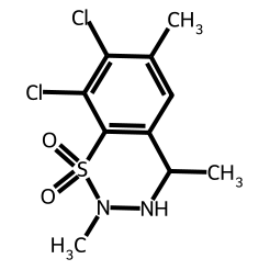 Cc1cc2c(c(Cl)c1Cl)S(=O)(=O)N(C)NC2C